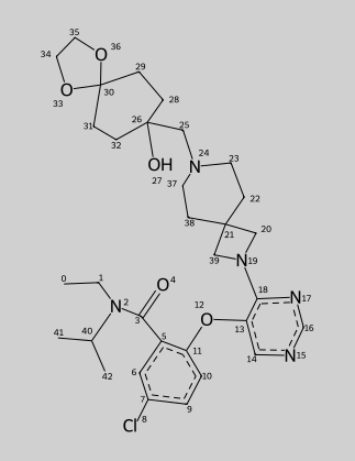 CCN(C(=O)c1cc(Cl)ccc1Oc1cncnc1N1CC2(CCN(CC3(O)CCC4(CC3)OCCO4)CC2)C1)C(C)C